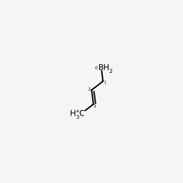 BCC=CC